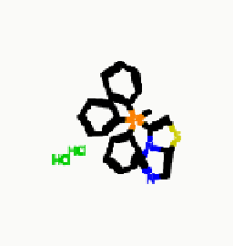 CP(c1ccccc1)(c1ccccc1)(c1ccccc1)c1csc2cncn12.Cl.Cl